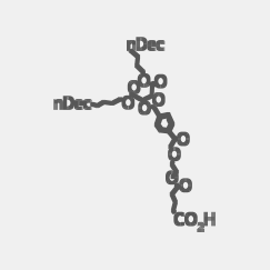 CCCCCCCCCCCCCCOC(=O)C1OC(c2ccc(C(=O)COCCOC(=O)CCCC(=O)O)cc2)OC1C(=O)OCCCCCCCCCCCCCC